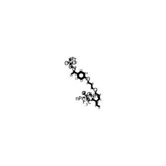 C/C=C(\C=C/COCCCOc1ccc(/C(C)=N/OS(=O)(=O)CCC)cc1)C(NOS(=O)(=O)CCC)C(F)(F)F